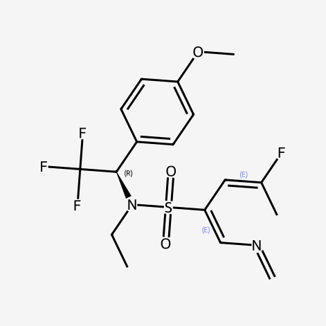 C=N/C=C(\C=C(/C)F)S(=O)(=O)N(CC)[C@H](c1ccc(OC)cc1)C(F)(F)F